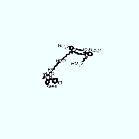 COc1ccc2c(c1)C(c1ccc(Cl)cc1)=N[C@@H](CC(=O)NCCCCCNC(=O)CCCCCC1(C)/C(=C/C=C/C=C/C3=[N+](CCCCS(=O)(=O)O)c4ccc(S(=O)(=O)O)cc4C3(C)C)N(CCCCS(=O)(=O)O)c3ccc(S(=O)(=O)O)cc31)c1nnc(C)n1-2